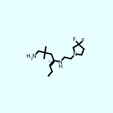 CC/C=C(/CC(C)(C)CN)NCCN1CCC(F)(F)C1